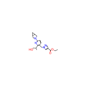 CCOC(=O)c1cnn(Cc2ccc(N3CC4CC4C3)nc2C(C)CO)c1